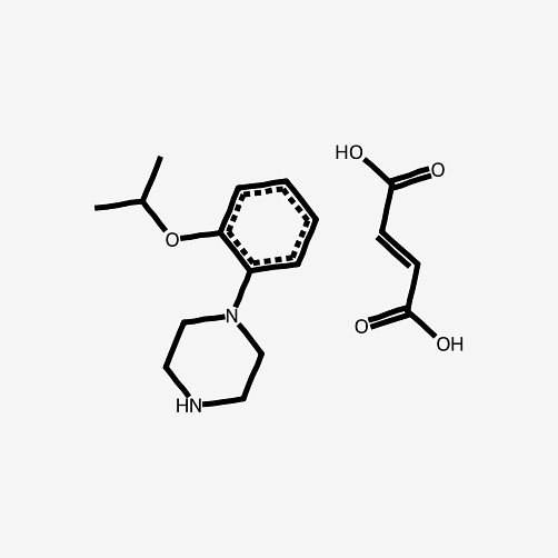 CC(C)Oc1ccccc1N1CCNCC1.O=C(O)C=CC(=O)O